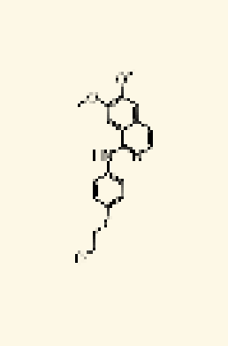 COCCOc1ccc(Nc2nccc3cc(OC)c(OC)cc23)cc1